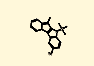 CC1=C2C=CC=CC2c2c1n([Si](C)(C)C)c1ccc(Br)cc21